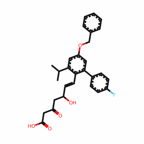 CC(C)c1cc(OCc2ccccc2)cc(-c2ccc(F)cc2)c1/C=C/C(O)CC(=O)CC(=O)O